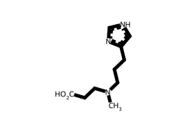 CN(CCCc1c[nH]cn1)CCC(=O)O